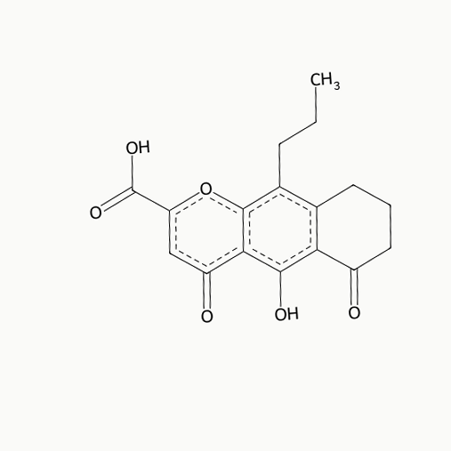 CCCc1c2c(c(O)c3c(=O)cc(C(=O)O)oc13)C(=O)CCC2